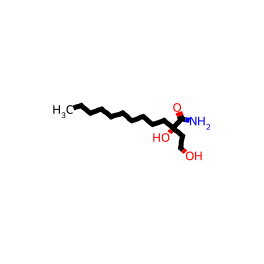 CCCCCCCCCCC(O)(CCO)C(N)=O